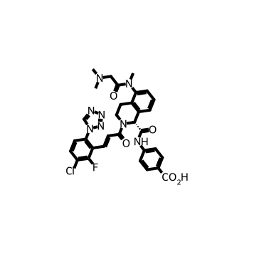 CN(C)CC(=O)N(C)c1cccc2c1CCN(C(=O)/C=C/c1c(-n3cnnn3)ccc(Cl)c1F)[C@H]2C(=O)Nc1ccc(C(=O)O)cc1